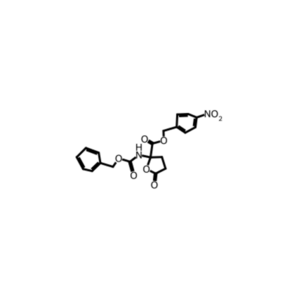 O=C1CCC(NC(=O)OCc2ccccc2)(C(=O)OCc2ccc([N+](=O)[O-])cc2)O1